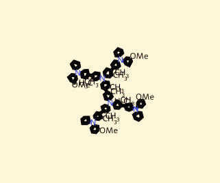 COc1cccc(N(c2ccccc2)c2ccc(-c3ccc(N(c4ccc(-c5ccc(N(c6ccccc6)c6cccc(OC)c6)cc5C)c(C)c4)c4ccc(-c5ccc(N(c6ccc(-c7ccc(N(c8ccccc8)c8cccc(OC)c8)cc7C)c(C)c6)c6ccc(-c7ccc(N(c8ccccc8)c8cccc(OC)c8)cc7C)c(C)c6)cc5C)c(C)c4)cc3C)c(C)c2)c1